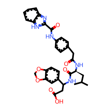 CC(C)C[C@H](NC(=O)Cc1ccc(NC(=O)c2nc3ccccc3[nH]2)cc1)C(=O)NC(CC(=O)O)c1ccc2c(c1)OCO2